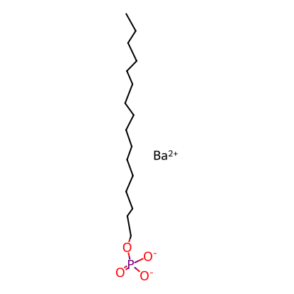 CCCCCCCCCCCCCCCCOP(=O)([O-])[O-].[Ba+2]